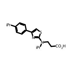 CC(C)c1ccc(-c2csc(N(CCC(=O)O)C(C)C)n2)cc1